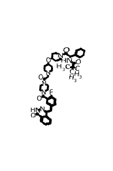 CC(C)(C)C(=O)N[C@@H](C(=O)N1CCC(OC2CCN(CC(=O)N3CCN(C(=O)c4cc(Cc5n[nH]c(=O)c6ccccc56)ccc4F)CC3)CC2)CC1)C1CCCCC1